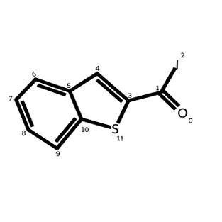 O=C(I)c1cc2ccccc2s1